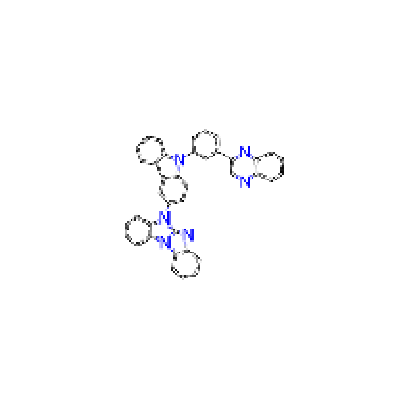 c1cc(-c2cnc3ccccc3n2)cc(-n2c3ccccc3c3cc(-n4c5ccccc5n5c6ccccc6nc45)ccc32)c1